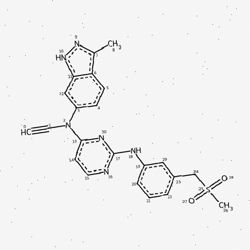 C#CN(c1ccc2c(C)n[nH]c2c1)c1ccnc(Nc2cccc(CS(C)(=O)=O)c2)n1